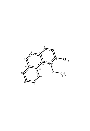 CC[n+]1c(C)ccc2ccc3ccccc3c21